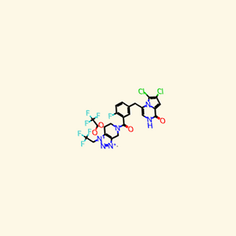 O=C(c1cc(Cc2c[nH]c(=O)c3cc(Cl)c(Cl)n23)ccc1F)N1CCC2=C(C1)[N+]=N[N+]2(CC(F)(F)F)OC(=O)C(F)(F)F